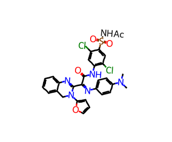 CC(=O)NS(=O)(=O)c1cc(Cl)c(NC(=O)/C(=N\c2ccc(N(C)C)cc2)C2=Nc3ccccc3CN2c2ccco2)cc1Cl